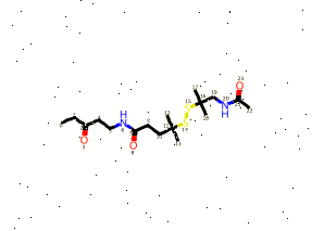 CCC(=O)CCNC(=O)CCC(C)(C)SSC(C)(C)CNC(C)=O